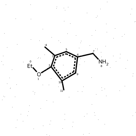 CCOc1c(C)cc(CN)cc1C